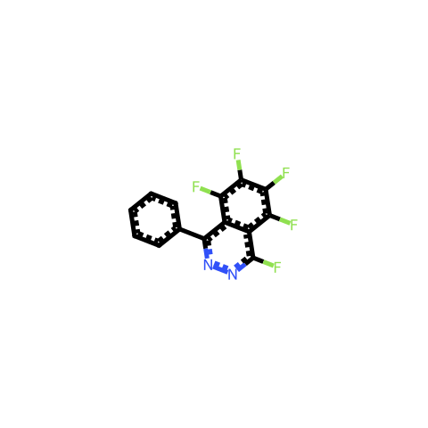 Fc1c(F)c(F)c2c(-c3ccccc3)nnc(F)c2c1F